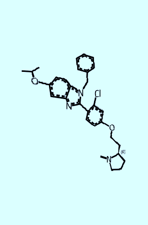 CC(C)Oc1ccc2c(c1)nc(-c1ccc(OCC[C@H]3CCCN3C)cc1Cl)n2Cc1ccccc1